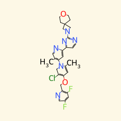 CC1=CC(OCc2ncc(F)cc2F)=C(Cl)CN1c1cc(-c2ccnc(N3CC4(CCOCC4)C3)n2)ncc1C